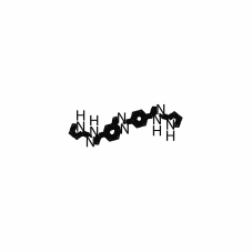 c1cc(-c2cnc(C3CCCN3)[nH]2)ccc1-c1ncc2cc(-c3cnc(C4CCCN4)[nH]3)ccc2n1